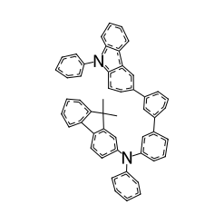 CC1(C)c2ccccc2-c2ccc(N(c3ccccc3)c3cccc(-c4cccc(-c5ccc6c(c5)c5ccccc5n6-c5ccccc5)c4)c3)cc21